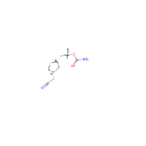 CC(C)(C[C@H]1CC[C@@H](CC#N)C1)OC(N)=O